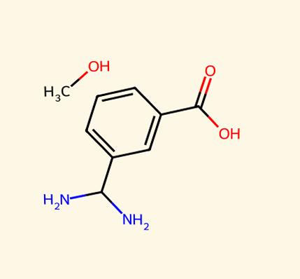 CO.NC(N)c1cccc(C(=O)O)c1